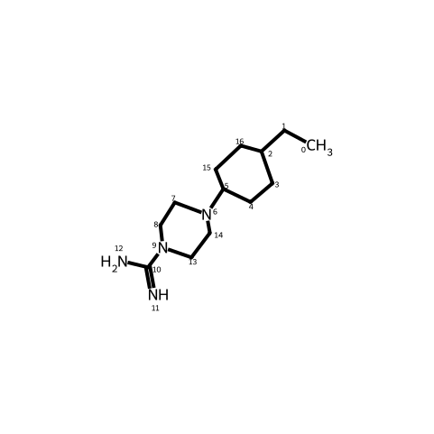 CCC1CCC(N2CCN(C(=N)N)CC2)CC1